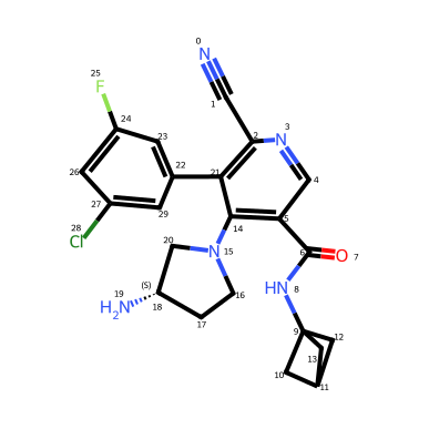 N#Cc1ncc(C(=O)NC23CC(C2)C3)c(N2CC[C@H](N)C2)c1-c1cc(F)cc(Cl)c1